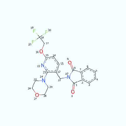 O=C1c2ccccc2C(=O)N1Cc1ccc(OCC(F)(F)F)nc1N1CCOCC1